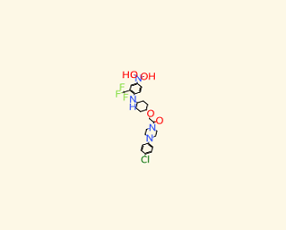 O=C(COC1CCC(Nc2ccc(N(O)O)cc2C(F)(F)F)CC1)N1CCN(c2ccc(Cl)cc2)CC1